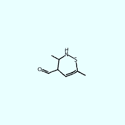 CC1=CC(C=O)C(C)NS1